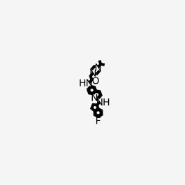 CC(C)N1CCN(CC(=O)Nc2ccc3nc(NC4CCc5cc(F)ccc54)ccc3c2)CC1